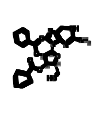 NC1=Nc2c(ncn2[C@@H]2O[C@H](CO)[C@@H](OC(=O)c3ccccc3)[C@@H]2OC(=O)c2ccccc2)CN1